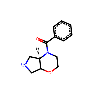 O=C(c1ccccc1)N1CCOC2CNC[C@H]21